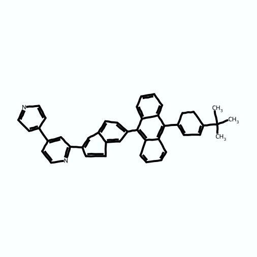 CC(C)(C)C1=CC=C(c2c3ccccc3c(-c3ccc4cc(-c5cc(-c6ccncc6)ccn5)ccc4c3)c3ccccc23)CC1